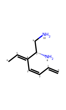 C=C/C=C\C(=C/C)[C@@H](N)CN